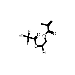 C=C(C)C(=O)OCC(CC)OC(=O)C(F)(F)CC